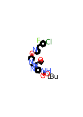 CC(C)(C)OC(=O)Nc1ccc2nc(CN3CCC(Oc4cccc(Cc5ccc(Cl)cc5F)n4)CC3)n(C[C@@H]3CCO3)c2c1